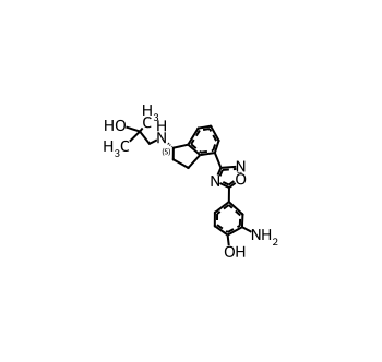 CC(C)(O)CN[C@H]1CCc2c(-c3noc(-c4ccc(O)c(N)c4)n3)cccc21